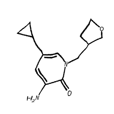 Nc1cc(C2CC2)cn(CC2CCOC2)c1=O